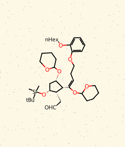 CCCCCCOc1ccccc1OCC/C=C(/OC1CCCCO1)[C@@H]1[C@H](CC=O)[C@H](O[Si](C)(C)C(C)(C)C)C[C@@H]1OC1CCCCO1